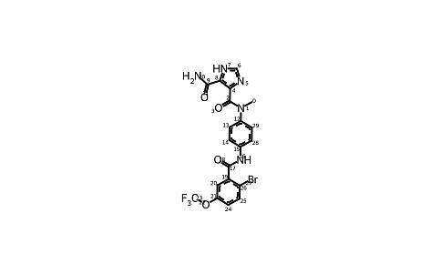 CN(C(=O)c1nc[nH]c1C(N)=O)c1ccc(NC(=O)c2cc(OC(F)(F)F)ccc2Br)cc1